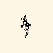 CCOC(=O)c1cn(C2CC2)c2nc(CC(=O)OCCC#N)c(F)cc2c1=O